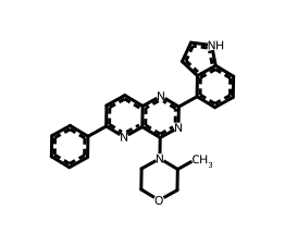 CC1COCCN1c1nc(-c2cccc3[nH]ccc23)nc2ccc(-c3ccccc3)nc12